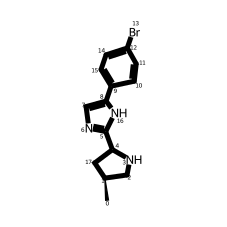 C[C@@H]1CNC(c2ncc(-c3ccc(Br)cc3)[nH]2)C1